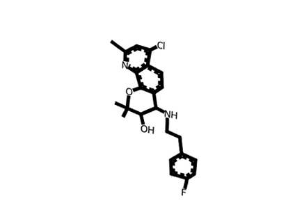 Cc1cc(Cl)c2ccc3c(c2n1)OC(C)(C)C(O)C3NCCc1ccc(F)cc1